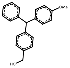 COc1ccc(C(c2ccccc2)c2ccc(CO)cc2)cc1